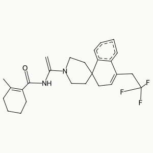 C=C(NC(=O)C1=C(C)CCCC1)N1CCC2(CC=C(CC(F)(F)F)c3ccccc32)CC1